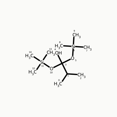 CC(C)C(O)(O[Si](C)(C)C)O[Si](C)(C)C